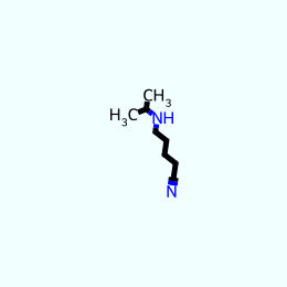 CC(C)NCCCCC#N